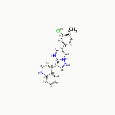 Cc1ccc(-c2cnc3c(-c4ccnc5ccccc45)cnn3c2)cc1Cl